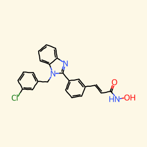 O=C(C=Cc1cccc(-c2nc3ccccc3n2Cc2cccc(Cl)c2)c1)NO